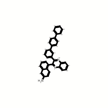 Nc1ccc2c(-c3nc4ccccc4nc3-c3cccc(-c4ccc(-c5ccccc5)cc4)c3)cccc2c1